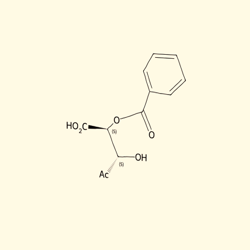 CC(=O)[C@@H](O)[C@H](OC(=O)c1ccccc1)C(=O)O